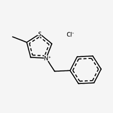 Cc1c[n+](Cc2ccccc2)cs1.[Cl-]